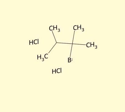 Cl.Cl.[B]C(C)(C)C(C)C